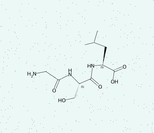 CC(C)C[C@H](NC(=O)[C@H](CO)NC(=O)CN)C(=O)O